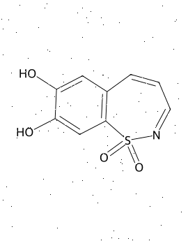 O=S1(=O)N=CC=Cc2cc(O)c(O)cc21